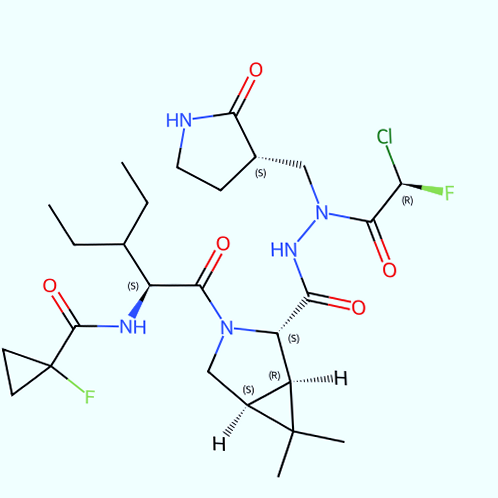 CCC(CC)[C@H](NC(=O)C1(F)CC1)C(=O)N1C[C@H]2[C@@H]([C@H]1C(=O)NN(C[C@@H]1CCNC1=O)C(=O)[C@H](F)Cl)C2(C)C